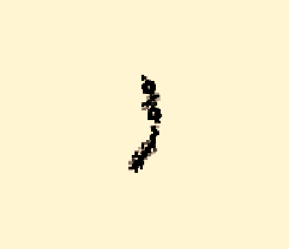 Fc1ccc(P2(=S)SP(=S)(c3ccc(OCCCCC(F)(F)C(F)(F)C(F)(F)C(F)(F)C(F)(F)C(F)(F)F)cc3)S2)cc1